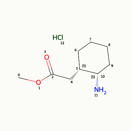 COC(=O)C[C@@H]1CCCC[C@@H]1N.Cl